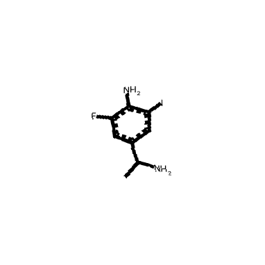 CC(N)c1cc(F)c(N)c(I)c1